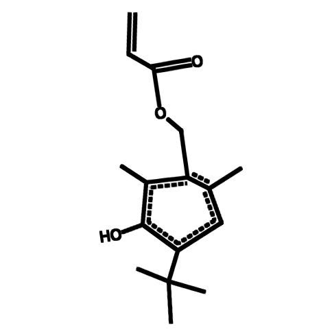 C=CC(=O)OCc1c(C)cc(C(C)(C)C)c(O)c1C